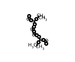 CC(C)c1ccc(N(c2ccc3cc4c(cc3c2)oc2cc3oc5cc6cc(N(c7ccc(C(C)C)cc7)c7ccc8oc9ccccc9c8c7)ccc6cc5c3cc24)c2ccc3oc4ccccc4c3c2)cc1